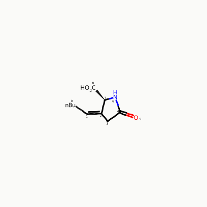 CCCCC=C1CC(=O)N[C@@H]1C(=O)O